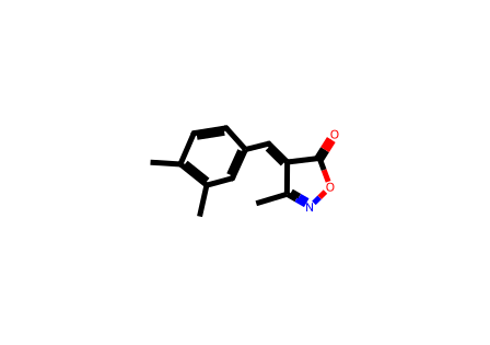 CC1=NOC(=O)C1=Cc1ccc(C)c(C)c1